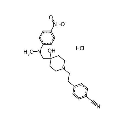 CN(CC1(O)CCN(CCc2ccc(C#N)cc2)CC1)c1ccc([N+](=O)[O-])cc1.Cl